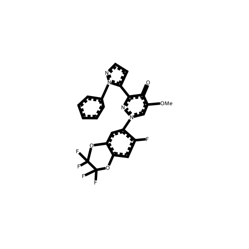 COc1cn(-c2cc3c(cc2F)OC(F)(F)C(F)(F)O3)nc(-c2ccnn2-c2ccccc2)c1=O